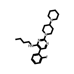 CCCCNc1nc(N2CCC(N3CCCCC3)CC2)ncc1-c1ccccc1F